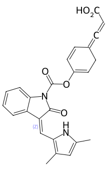 Cc1cc(C)c(/C=C2\C(=O)N(C(=O)OC3=CCC(=C=CC(=O)O)C=C3)c3ccccc32)[nH]1